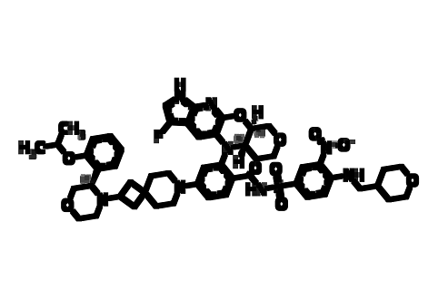 CC(C)Oc1ccccc1[C@@H]1COCCN1C1CC2(CCN(c3ccc(C(=O)NS(=O)(=O)c4ccc(NCC5CCOCC5)c([N+](=O)[O-])c4)c(N4c5cc6c(F)c[nH]c6nc5O[C@H]5COCC[C@@H]54)c3)CC2)C1